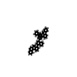 CC1(C)c2ccc3ccccc3c2-c2cccc(-c3ccc(-c4cc(-c5cccc6c5C(C)(c5ccccc5)c5ccccc5-6)nc(-c5ccccc5)n4)c4ccccc34)c21